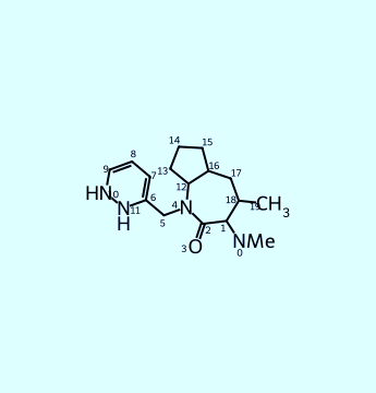 CNC1C(=O)N(CC2=CC=CNN2)C2CCCC2CC1C